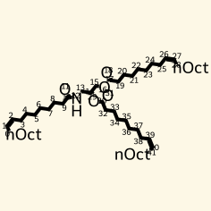 CCCCCCCC/C=C\CCCCCCCC(=O)NCC(COC(=O)CCCCCCC/C=C\CCCCCCCC)OC(=O)CCCCCCC/C=C\CCCCCCCC